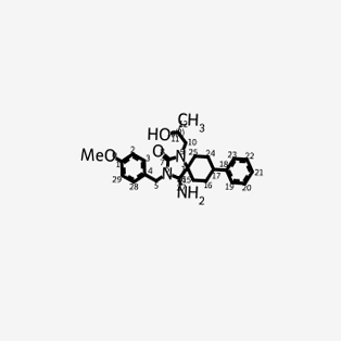 COc1ccc(CN2C(=O)N(C[C@@H](C)O)C3(CCC(c4ccccc4)CC3)C2N)cc1